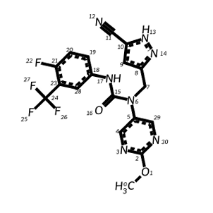 COc1ncc(N(Cc2cc(C#N)[nH]n2)C(=O)Nc2ccc(F)c(C(F)(F)F)c2)cn1